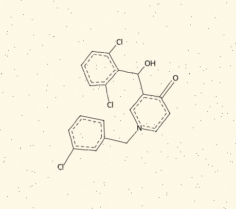 O=c1ccn(Cc2cccc(Cl)c2)cc1C(O)c1c(Cl)cccc1Cl